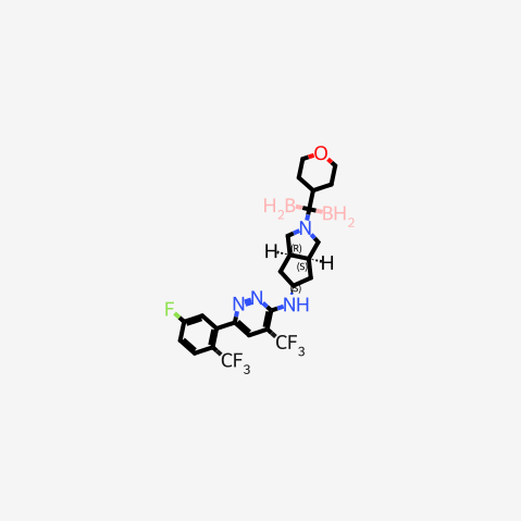 BC(B)(C1CCOCC1)N1C[C@H]2C[C@H](Nc3nnc(-c4cc(F)ccc4C(F)(F)F)cc3C(F)(F)F)C[C@H]2C1